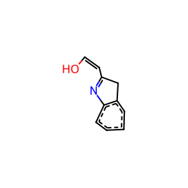 O/C=C\C1=Nc2ccccc2C1